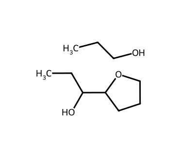 CCC(O)C1CCCO1.CCCO